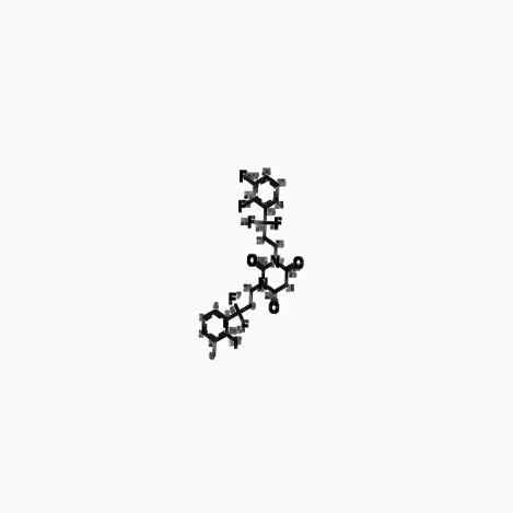 Cc1cccc(C(F)(F)CCN2C(=O)CC(=O)N(CCC(F)(F)c3cccc(F)c3F)C2=O)c1F